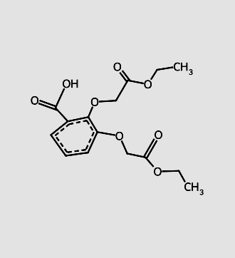 CCOC(=O)COc1cccc(C(=O)O)c1OCC(=O)OCC